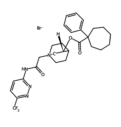 O=C(C[N+]12CCC(CC1)[C@@H](OC(=O)C1(c3ccccc3)CCCCCC1)C2)Nc1ccc(C(F)(F)F)nn1.[Br-]